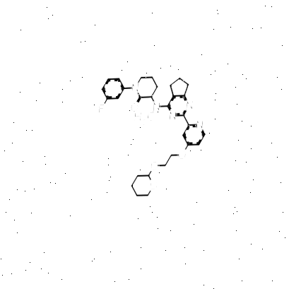 CN(c1nc(-c2cc(OCCOC3CCCCO3)ccn2)nc2c1CCC2)C1CCCN(c2cccc(F)c2)C1=O